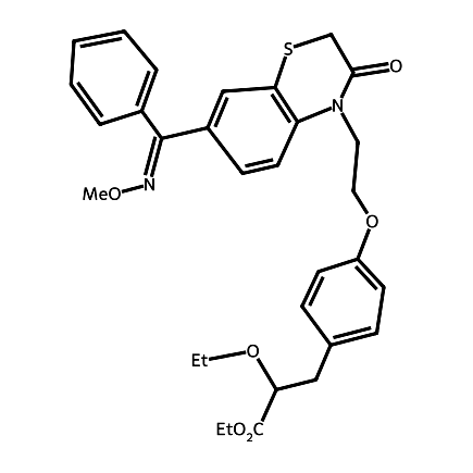 CCOC(=O)C(Cc1ccc(OCCN2C(=O)CSc3cc(C(=NOC)c4ccccc4)ccc32)cc1)OCC